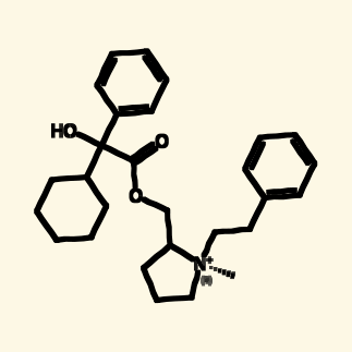 C[N@+]1(CCc2ccccc2)CCCC1COC(=O)C(O)(c1ccccc1)C1CCCCC1